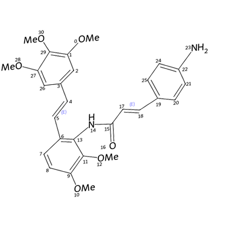 COc1cc(/C=C/c2ccc(OC)c(OC)c2NC(=O)/C=C/c2ccc(N)cc2)cc(OC)c1OC